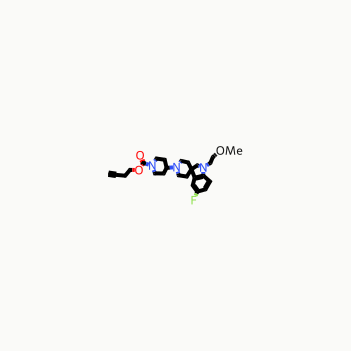 C#CCCOC(=O)N1CCC(N2CCC3(CC2)CN(CCOC)c2ccc(F)cc23)CC1